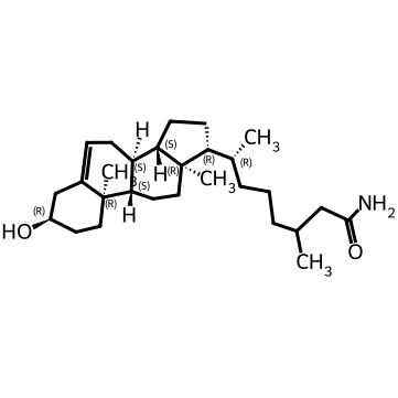 CC(CCC[C@@H](C)[C@H]1CC[C@H]2[C@@H]3CC=C4C[C@H](O)CC[C@]4(C)[C@H]3CC[C@]12C)CC(N)=O